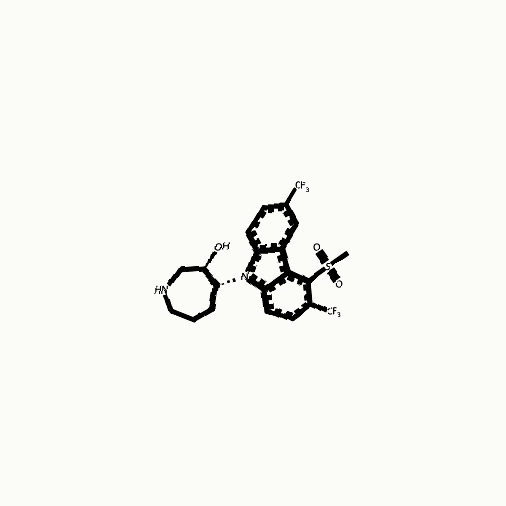 CS(=O)(=O)c1c(C(F)(F)F)ccc2c1c1cc(C(F)(F)F)ccc1n2[C@@H]1CCCNC[C@H]1O